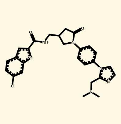 CN(C)Cc1nccn1-c1ccc(N2CC(CNC(=O)c3cc4ccc(Cl)cc4s3)CC2=O)cc1